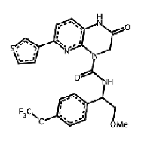 COCC(NC(=O)N1CC(=O)Nc2ccc(-c3ccsc3)nc21)c1ccc(OC(F)(F)F)cc1